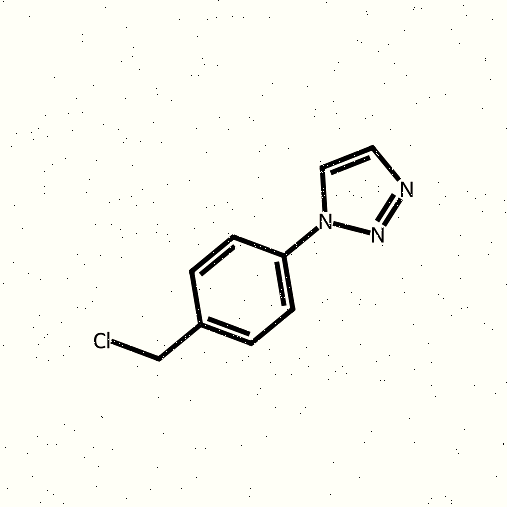 ClCc1ccc(-n2ccnn2)cc1